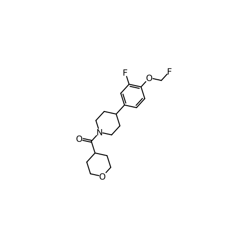 O=C(C1CCOCC1)N1CCC(c2ccc(OCF)c(F)c2)CC1